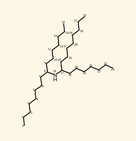 CCCCCCCCC(CCCCCCC)NC(CCCCCCC)CCCCCCCC